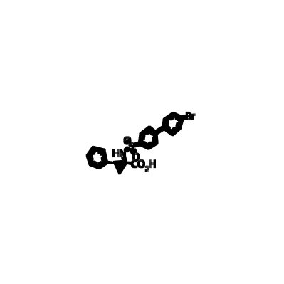 O=C(O)[C@@]1(NS(=O)(=O)c2ccc(-c3ccc(Br)cc3)cc2)C[C@H]1c1ccccc1